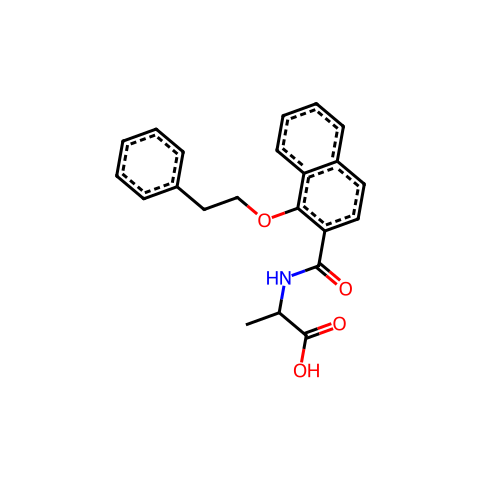 CC(NC(=O)c1ccc2ccccc2c1OCCc1ccccc1)C(=O)O